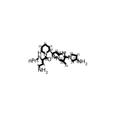 CCCNC(CCN)C(=O)N1CCCC[C@H]1c1cc2nc(N3CC[C@H](N)C3)c(C)cn2n1